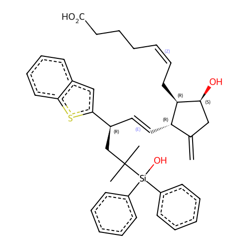 C=C1C[C@H](O)[C@H](C/C=C\CCCC(=O)O)[C@H]1/C=C/[C@@H](CC(C)(C)[Si](O)(c1ccccc1)c1ccccc1)c1cc2ccccc2s1